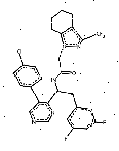 O=C(Cn1nc(C(F)(F)F)c2c1CCCC2)N[C@@H](Cc1cc(F)cc(F)c1)c1ncncc1-c1ccc(Cl)cc1